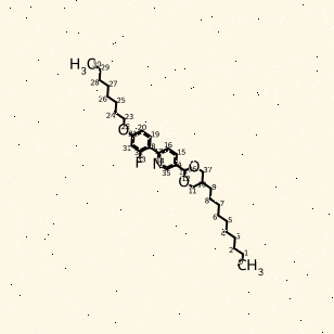 CCCCCCCCCCC1COC(c2ccc(-c3ccc(OCCCCCCCC)cc3F)nc2)OC1